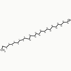 CCCCCCCCCCCCCCCCCCCCCCCCCO